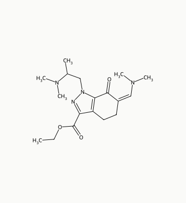 CCOC(=O)c1nn(CC(C)N(C)C)c2c1CC/C(=C/N(C)C)C2=O